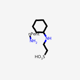 CCCCCN.O=S(=O)(O)CCNC1CCCCC1